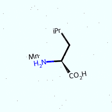 CC(C)C[C@H](N)C(=O)O.[Mn]